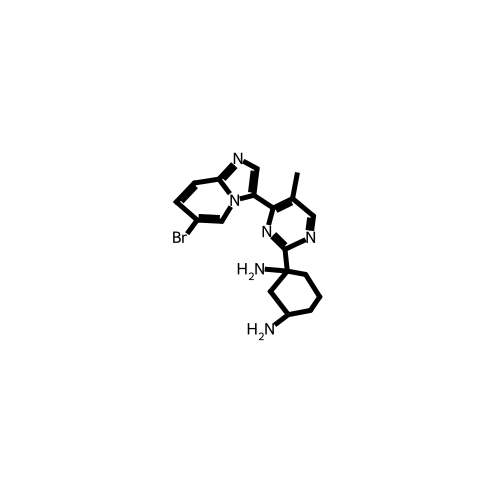 Cc1cnc(C2(N)CCCC(N)C2)nc1-c1cnc2ccc(Br)cn12